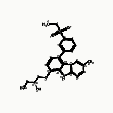 CCS(=O)(=O)c1cccc(-c2ccc(OC[C@H](O)CO)c3[nH]c4ncc(C)cc4c23)c1